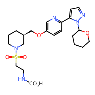 O=C(O)NCCS(=O)(=O)N1CCC[C@@H](COc2ccc(-c3ccnn3C3CCCCO3)nc2)C1